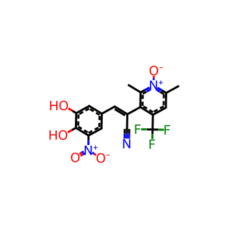 Cc1cc(C(F)(F)F)c(C(C#N)=Cc2cc(O)c(O)c([N+](=O)[O-])c2)c(C)[n+]1[O-]